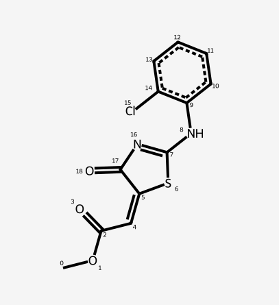 COC(=O)C=C1SC(Nc2ccccc2Cl)=NC1=O